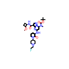 COC1CC[C@H]1NC(=O)c1cnn2c(N(C)C(=O)OC(C)(C)C)cc(Nc3cccn(C4CCN(CCF)CC4)c3=O)nc12